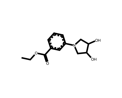 CCOC(=O)c1cccc(N2CC(O)C(O)C2)c1